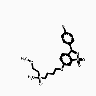 COCC[N+](C)([O-])CCCCOc1ccc2c(c1)S(=O)(=O)N=C2c1ccc(Br)cc1